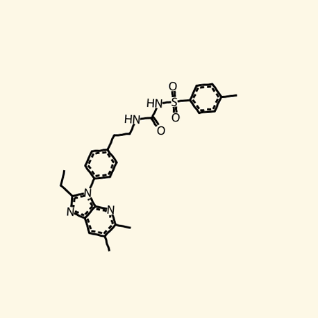 CCc1nc2cc(C)c(C)nc2n1-c1ccc(CCNC(=O)NS(=O)(=O)c2ccc(C)cc2)cc1